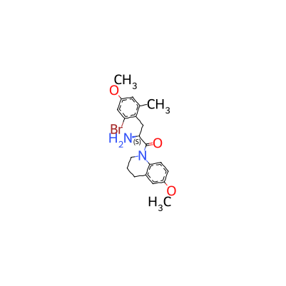 COc1cc(C)c(C[C@H](N)C(=O)N2CCCc3cc(OC)ccc32)c(Br)c1